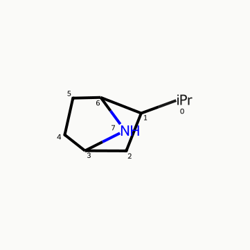 CC(C)C1CC2CCC1N2